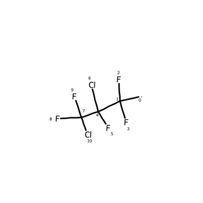 [CH2]C(F)(F)C(F)(Cl)C(F)(F)Cl